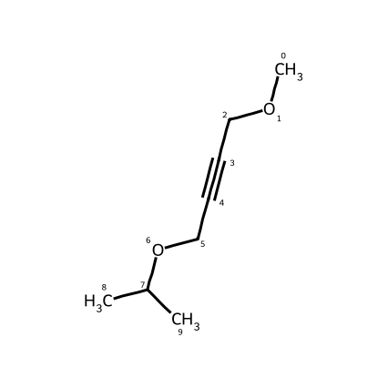 COCC#CCOC(C)C